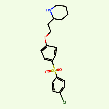 O=S(=O)(c1ccc(Cl)cc1)c1ccc(OCCC2CCCCN2)cc1